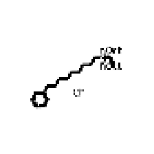 C=C[N+](CCCCCCCC)(CCCCCCCC)CCCCCCCCCc1ccccc1.[Cl-]